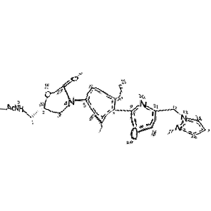 CC(=O)NC[C@H]1CN(c2ccc(-c3nc(Cn4cccn4)co3)c(F)c2)C(=O)O1